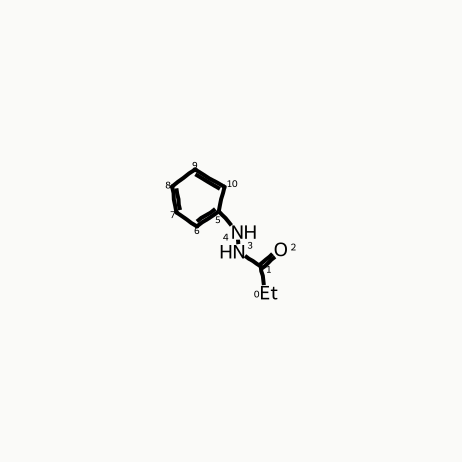 CCC(=O)NNc1ccccc1